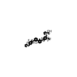 COc1c(-c2nc3cc(CN4CCCC4)c(F)c(F)c3o2)cccc1-c1cccc(-c2nc3cc(CN4CCC[C@H]4C(=O)O)c(OC(F)F)cc3o2)c1C